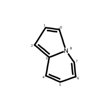 [c]1ccc2ccccn12